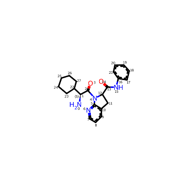 N[C@H](C(=O)N1c2ncccc2CC1C(=O)Nc1ccccc1)C1CCCCC1